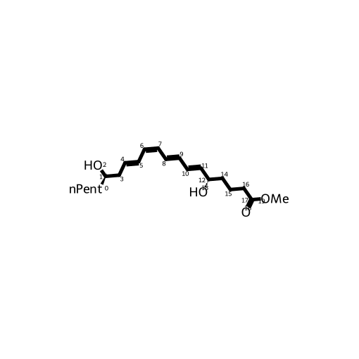 CCCCC[C@@H](O)C/C=C/C=C\C=C\C=C\[C@@H](O)CCCC(=O)OC